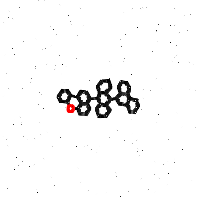 c1ccc2c(c1)Oc1cccc3c(-c4c5ccccc5c(-c5cc6ccccc6c6ccccc56)c5ccccc45)ccc-2c13